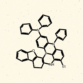 CCc1ccc2c3c1NC1=C(B3c3ccc(N(c4ccccc4)c4ccccc4)cc3N2c2ccccc2)c2oc3ccccc3c2CC1